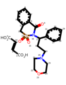 O=C(O)C=CC(=O)O.O=C1c2ccccc2CS(=O)(=O)N1C(CCN1CCOCC1)c1ccccc1